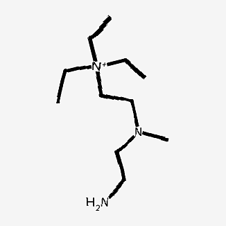 CC[N+](CC)(CC)CCN(C)CCN